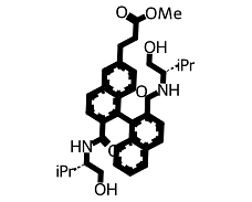 COC(=O)CCc1ccc2c(-c3c(C(=O)N[C@H](CO)C(C)C)ccc4ccccc34)c(C(=O)N[C@H](CO)C(C)C)ccc2c1